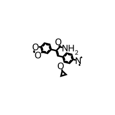 CN(C)c1ccc(C=C(C(N)=O)c2ccc3c(c2)OCO3)c(OC2CC2)c1